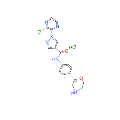 Cl.O=C(Nc1ccc([C@H]2CNCCO2)cc1)c1cnn(-c2nccnc2Cl)c1